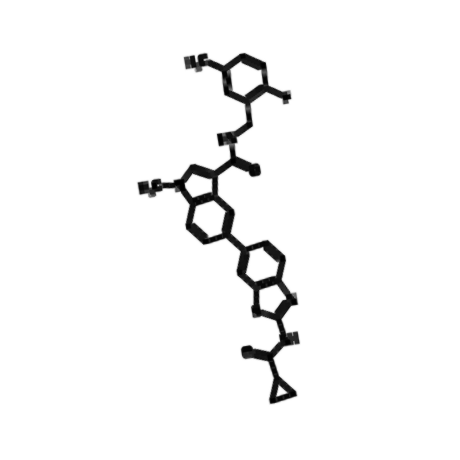 Cc1ccc(F)c(CNC(=O)c2cn(C)c3ccc(-c4ccc5nc(NC(=O)C6CC6)sc5c4)cc23)c1